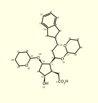 O=C(O)C[C@@H]1[C@H](C(CCC2Cc3ccccc3C2)OC2CCCCO2)[C@H](OC2CCCCO2)C[C@@H]1O